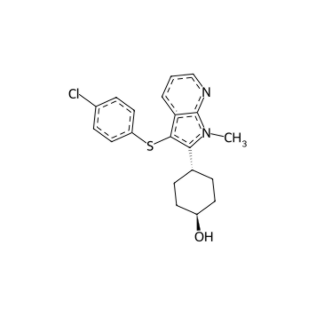 Cn1c2ncccc2c(Sc2ccc(Cl)cc2)c1[C@H]1CC[C@H](O)CC1